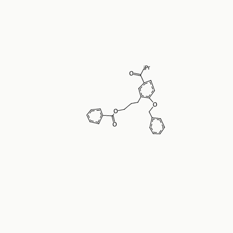 CC(C)C(=O)c1ccc(OCc2ccccc2)c(CCCOC(=O)c2ccccc2)c1